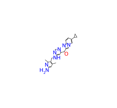 Cc1cc(N)nc(C)c1CNc1cc(C(=O)c2cn3cc(C4CC4)ccc3n2)ncn1